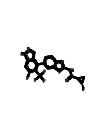 O=C(Nc1nc2ccc(-c3c(C(F)(F)F)c(F)cc4[nH]ncc34)cc2s1)C1C[C@@H]1F